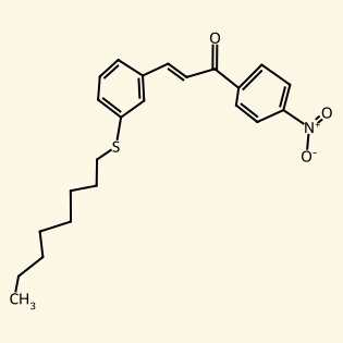 CCCCCCCCSc1cccc(C=CC(=O)c2ccc([N+](=O)[O-])cc2)c1